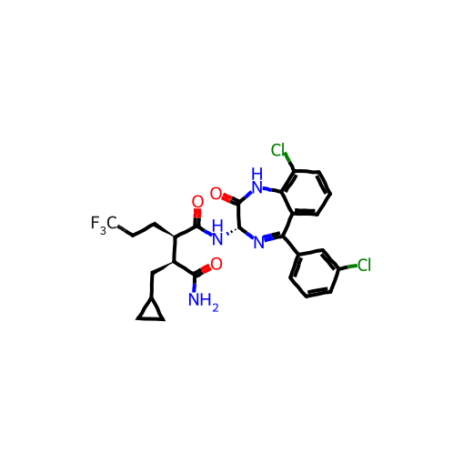 NC(=O)[C@@H](CC1CC1)[C@@H](CCC(F)(F)F)C(=O)N[C@H]1N=C(c2cccc(Cl)c2)c2cccc(Cl)c2NC1=O